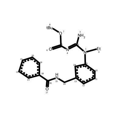 CCN(C(N)=NC(=O)OC(C)(C)C)c1cccc(CNC(=O)c2ccccc2)c1